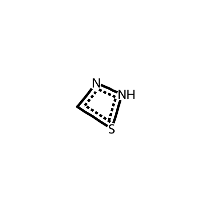 c1n[nH]s1